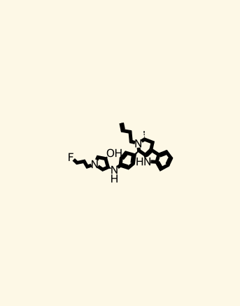 C=CCCN1[C@H](c2ccc(N[C@@H]3CN(CCCF)C[C@@H]3O)cc2)c2[nH]c3ccccc3c2C[C@H]1C